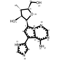 C[C@H]1[C@H](O)[C@H](c2cc(-c3cnc[nH]3)c3c(N)ncnn23)O[C@@H]1CO